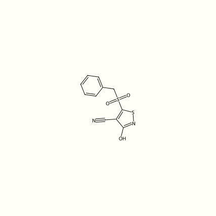 N#Cc1c(O)nsc1S(=O)(=O)Cc1ccccc1